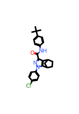 CC(C)(C)c1ccc(NC(=O)c2nn(-c3ccc(Cl)cc3)c3c2C2CCC3C2)cc1